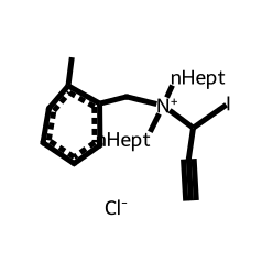 C#CC(I)[N+](CCCCCCC)(CCCCCCC)Cc1ccccc1C.[Cl-]